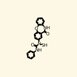 O=C1Nc2ccccc2Oc2ccc(N(S)C(=O)Nc3ccccc3)cc21